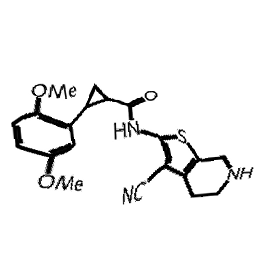 COc1ccc(OC)c(C2CC2C(=O)Nc2sc3c(c2C#N)CCNC3)c1